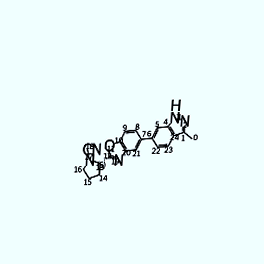 Cc1n[nH]c2cc(-c3ccc4oc([C@@H]5CCCN5C#N)nc4c3)ccc12